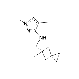 Cc1cn(C)nc1NCC1(C)CC2(CC2)C1